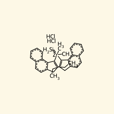 CCC1=[C]([Zr]([CH3])([CH3])(=[SiH2])[C]2=C(CC)Cc3ccc4ccccc4c32)c2c(ccc3ccccc23)C1.Cl.Cl